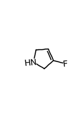 FC1=CCNC1